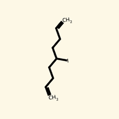 C=CCCC(I)CCC=C